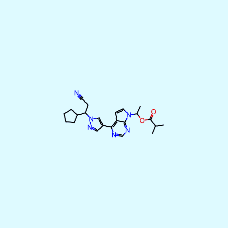 CC(C)C(=O)OC(C)n1ccc2c(-c3cnn(C(CC#N)C4CCCC4)c3)ncnc21